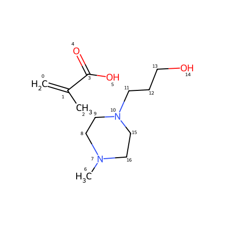 C=C(C)C(=O)O.CN1CCN(CCCO)CC1